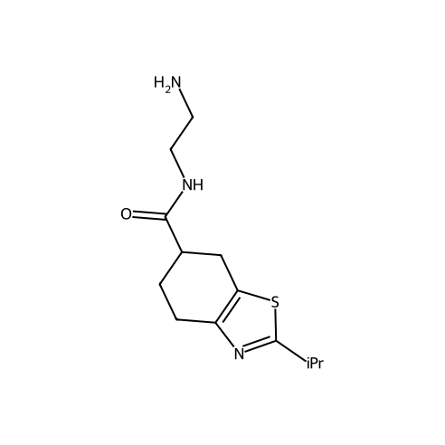 CC(C)c1nc2c(s1)CC(C(=O)NCCN)CC2